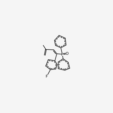 C=C(C)/C=C(\c1ccc(F)cc1)P(=O)(c1ccccc1)c1ccccc1